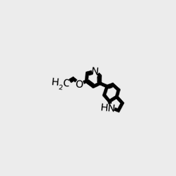 C=COc1cncc(C2=CCC3CCNC3C2)c1